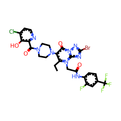 CCc1c(N2CCN(C(=O)c3nccc(Cl)c3O)CC2)c(=O)n2nc(Br)nc2n1CC(=O)Nc1ccc(C(F)(F)F)cc1F